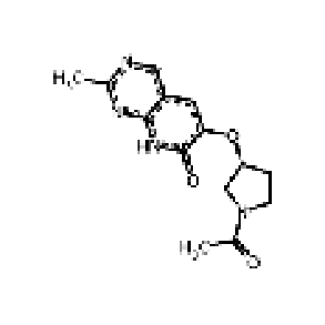 CC(=O)N1CC[C@H](Oc2cc3[c]nc(C)nc3[nH]c2=O)C1